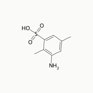 Cc1cc(N)c(C)c(S(=O)(=O)O)c1